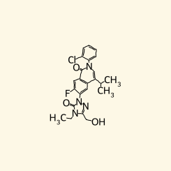 CCn1c(CO)nn(-c2cc3c(C(C)C)cn(-c4ccccc4Cl)c(=O)c3cc2F)c1=O